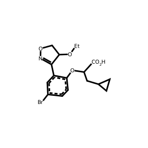 CCOC1CON=C1c1cc(Br)ccc1OC(CC1CC1)C(=O)O